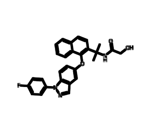 CC(C)(NC(=O)CO)c1ccc2ccccc2c1Oc1ccc2c(cnn2-c2ccc(F)cc2)c1